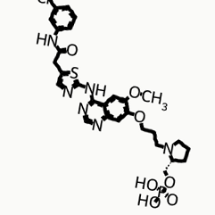 COc1cc2c(Nc3ncc(CC(=O)Nc4cccc(Cl)c4)s3)ncnc2cc1OCCCN1CCC[C@@H]1COP(=O)(O)O